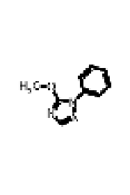 COc1n[c]nn1-c1ccccc1